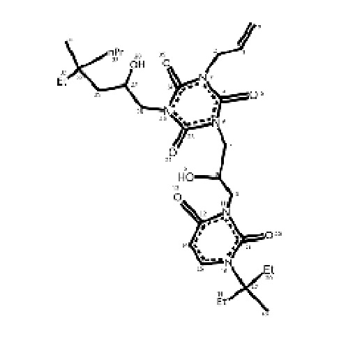 C=CCn1c(=O)n(CC(O)Cn2c(=O)ccn(C(C)(CC)CC)c2=O)c(=O)n(CC(O)CC(C)(CC)CCC)c1=O